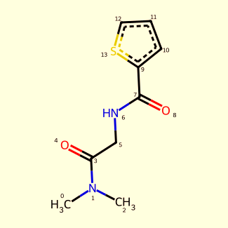 CN(C)C(=O)CNC(=O)c1cccs1